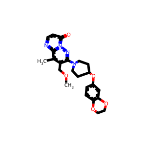 COCc1c(N2CCC(Oc3ccc4c(c3)OCCO4)CC2)nn2c(=O)ccnc2c1C